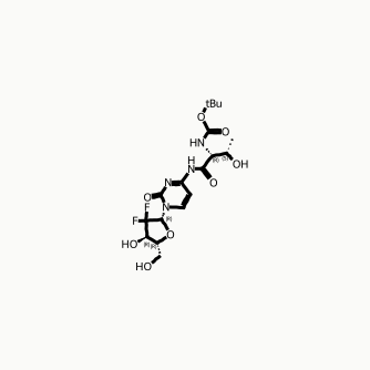 C[C@H](O)[C@@H](NC(=O)OC(C)(C)C)C(=O)Nc1ccn([C@@H]2O[C@H](CO)[C@@H](O)C2(F)F)c(=O)n1